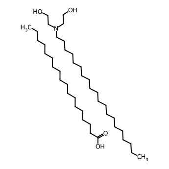 CCCCCCCCCCCCCCCCCC(=O)O.CCCCCCCCCCCCCCCCCCCCN(CCO)CCO